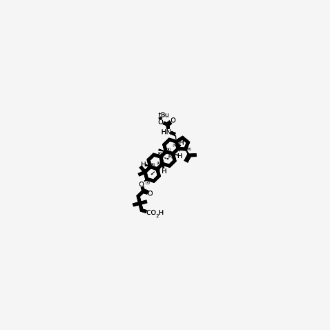 C=C(C)[C@@H]1CC[C@]2(CNC(=O)OC(C)(C)C)CC[C@]3(C)[C@H](CC[C@@H]4[C@@]5(C)CC[C@H](OC(=O)CC(C)(C)CC(=O)O)C(C)(C)[C@@H]5CC[C@]43C)[C@@H]12